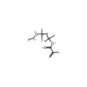 C=C(C)C(=O)OC(C)(C)CC(C)(C)OCC